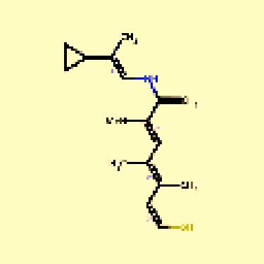 C=C(N/C=C(\C)C1CC1)/C(=C/C(C)=C(C)/C=C\S)NC